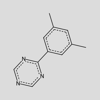 Cc1cc(C)cc(-c2ncncn2)c1